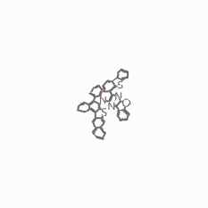 c1ccc2cc3c(cc2c1)sc1c3c2ccccc2c2c3ccccc3n(-c3nc4c(nc3-c3cccc5c3sc3ccccc35)oc3ccccc34)c12